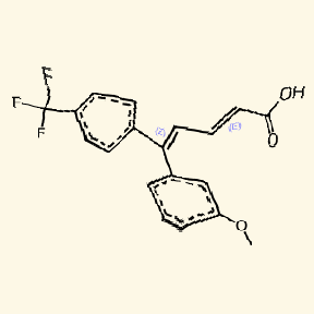 COc1cccc(/C(=C\C=C\C(=O)O)c2ccc(C(F)(F)F)cc2)c1